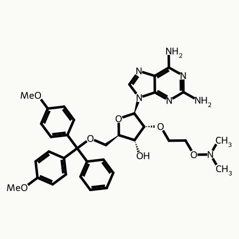 COc1ccc(C(OC[C@H]2O[C@@H](n3cnc4c(N)nc(N)nc43)[C@H](OCCON(C)C)[C@@H]2O)(c2ccccc2)c2ccc(OC)cc2)cc1